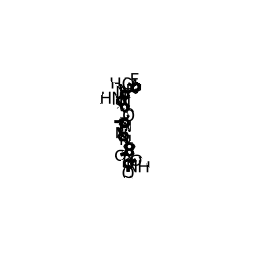 Cc1cc(O[C@H]2CN3c4cc(-c5cccc(F)c5O)nnc4NC[C@]3(C)C2)cnc1CN1CCN(c2ccc3c(c2)C(=O)N([C@H]2CCC(=O)NC2=O)C3)CC1